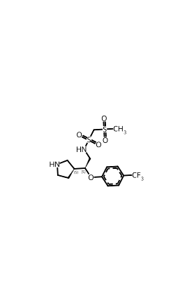 CS(=O)(=O)CS(=O)(=O)NC[C@@H](Oc1ccc(C(F)(F)F)cc1)[C@H]1CCNC1